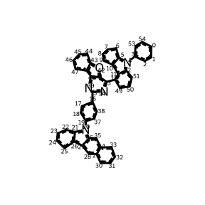 c1ccc(-n2c3ccccc3c3c(-c4nc(-c5ccc(-n6c7ccccc7c7cc8ccccc8cc76)cc5)nc5c4oc4ccccc45)cccc32)cc1